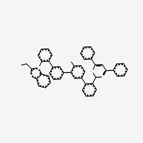 CCc1nc2ccccc2n1-c1ccccc1-c1cccc(-c2cc(-c3ccccc3C3N=C(c4ccccc4)C=C(c4ccccc4)N3)ccc2N)c1